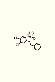 Clc1ccc(CCc2ccccc2)cc1Cl.O.O.O=C=O